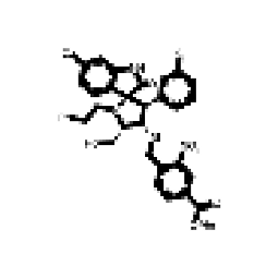 COC(=O)c1ccc(CN[C@@H]2[C@H](CO)N(CCC(C)C)[C@@]3(C(=O)Nc4cc(Cl)ccc43)[C@H]2c2cccc(Cl)c2)c([N+](=O)[O-])c1